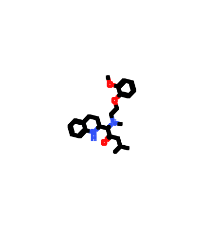 COc1ccccc1OCCN(C)C(C(=O)CC(C)C)C1CCc2ccccc2N1